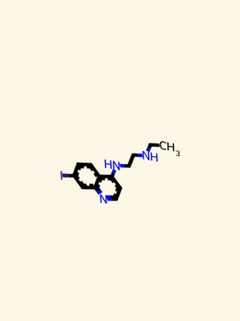 CCNCCNc1ccnc2cc(I)ccc12